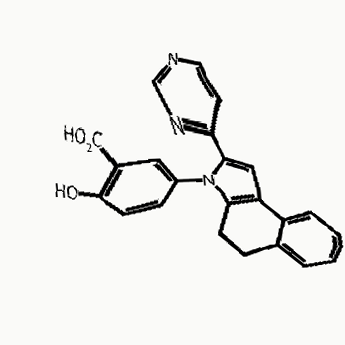 O=C(O)c1cc(-n2c(-c3ccncn3)cc3c2CCc2ccccc2-3)ccc1O